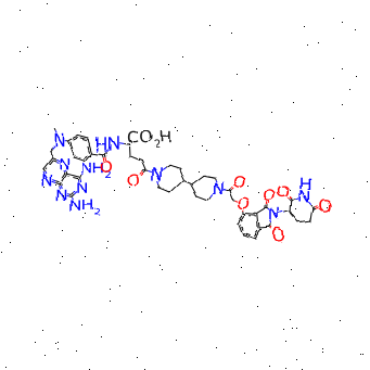 CN(Cc1cnc2nc(N)nc(N)c2n1)c1ccc(C(=O)N[C@@H](CCC(=O)N2CCC(C3CCN(C(=O)COc4cccc5c4C(=O)N(C4CCC(=O)NC4=O)C5=O)CC3)CC2)C(=O)O)cc1